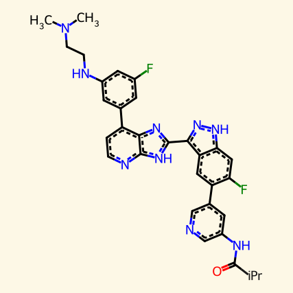 CC(C)C(=O)Nc1cncc(-c2cc3c(-c4nc5c(-c6cc(F)cc(NCCN(C)C)c6)ccnc5[nH]4)n[nH]c3cc2F)c1